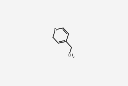 [CH2]CC1=CCOC=C1